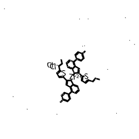 CCCc1ccc(C2=Cc3c(-c4ccc(C)cc4)cccc3[CH]2[Zr+2][CH]2C(c3ccc(CCC)s3)=Cc3c(-c4ccc(C)cc4)cccc32)s1.[Cl-].[Cl-]